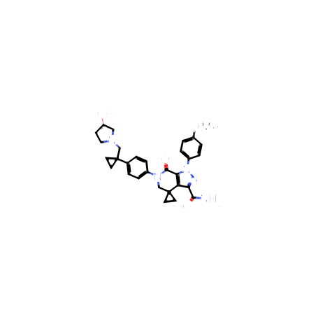 COc1ccc(-n2nc(C(N)=O)c3c2C(=O)N(c2ccc(C4(CN5CC[C@@H](O)C5)CC4)cc2)CC32CC2)cc1